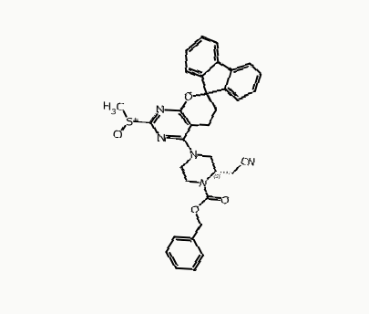 C[S+]([O-])c1nc2c(c(N3CCN(C(=O)OCc4ccccc4)[C@@H](CC#N)C3)n1)CCC1(O2)c2ccccc2-c2ccccc21